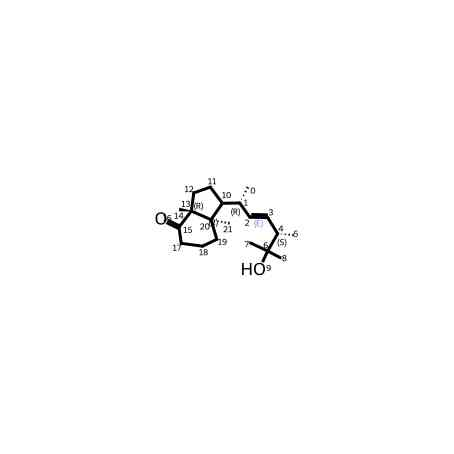 C[C@H](/C=C/[C@H](C)C(C)(C)O)C1CC[C@@]2(C)C(=O)CCC[C@]12C